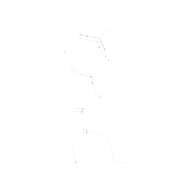 CCCN(CC)C(=O)Nc1cccc(C)n1